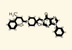 C[C@H](C[C@@H](O)N1CCC(O)(Cn2cnc3c(ncn3-c3ccccc3)c2=O)CC1)c1ccccc1